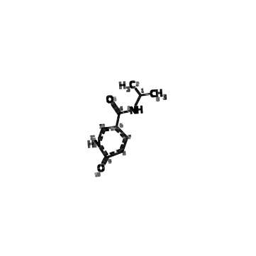 CC(C)NC(=O)c1ccc(=O)[nH]c1